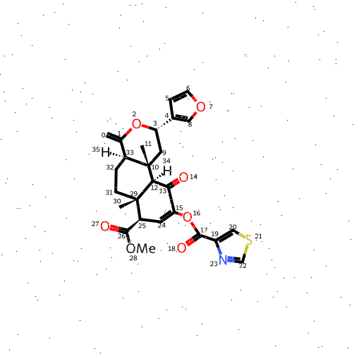 C=C1O[C@H](c2ccoc2)C[C@]2(C)[C@H]3C(=O)C(OC(=O)c4cscn4)=C[C@@H](C(=O)OC)[C@]3(C)CC[C@@H]12